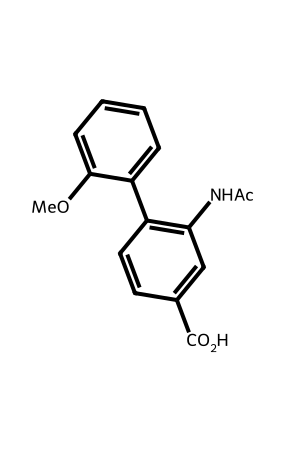 COc1ccccc1-c1ccc(C(=O)O)cc1NC(C)=O